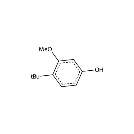 COc1cc(O)ccc1C(C)(C)C